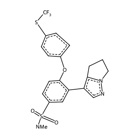 CNS(=O)(=O)c1ccc(Oc2ccc(SC(F)(F)F)cc2)c(-c2cnn3c2CCC3)c1